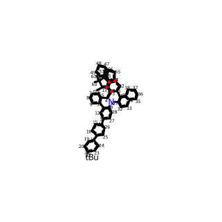 CC1=C(/C=C2\c3ccccc3-c3cc(-c4ccc(-c5ccc(C(C)(C)C)cc5)cc4)ccc3N2c2ccc3ccccc3c2-c2ccc(-c3ccccc3)cc2)c2ccccc2C1(C)C